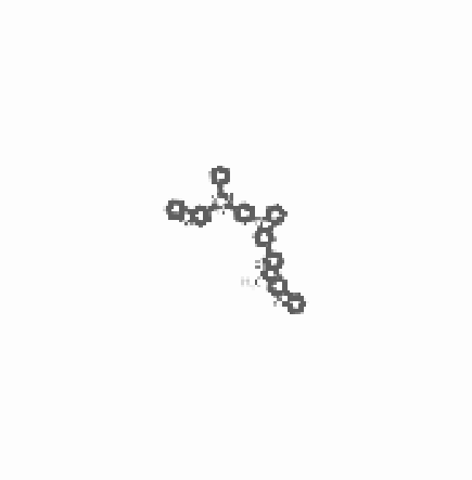 CC1(C)c2cc(-c3ccc4c(c3)c3ccccc3n4-c3ccc(-c4nc(-c5ccccc5)nc(-c5ccc6sc7ccccc7c6c5)n4)cc3)ccc2-c2cc3c(cc21)oc1ccccc13